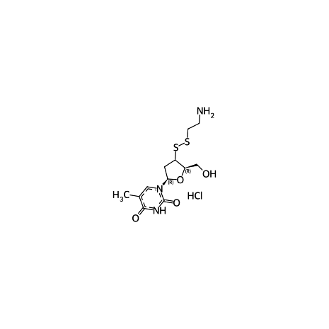 Cc1cn([C@H]2CC(SSCCN)[C@@H](CO)O2)c(=O)[nH]c1=O.Cl